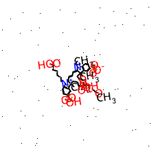 CCN1/C(=C/C=C/C2=[N+](CCCCCC(=O)O)c3ccc(S(=O)(=O)O)cc3C2(C)CCCS(=O)(=O)O)C(C)(CCOCCOCCOC)c2cc(S(=O)(=O)[O-])ccc21